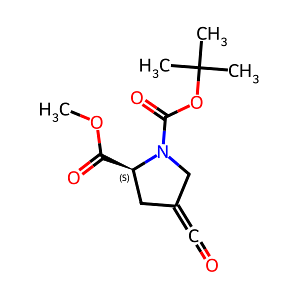 COC(=O)[C@@H]1CC(=C=O)CN1C(=O)OC(C)(C)C